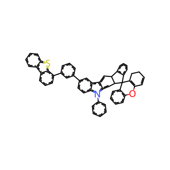 C1=CC2=C(CC1)C1(c3ccccc3O2)c2ccccc2C2C=c3c(n(-c4ccccc4)c4ccc(-c5cccc(-c6cccc7c6sc6ccccc67)c5)cc34)=CC21